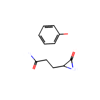 NC(=O)CCC1NC1=O.Oc1ccccc1